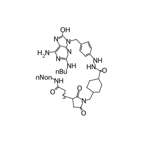 CCCCCCCCCNC(=O)CSC1CC(=O)N(CC2CCC(C(=O)NNc3ccc(Cn4c(O)nc5c(N)nc(NCCCC)nc54)cc3)CC2)C1=O